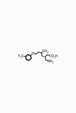 CC(CCOc1cccc(C(F)(F)F)c1)C[C@H](CN)CC(=O)O